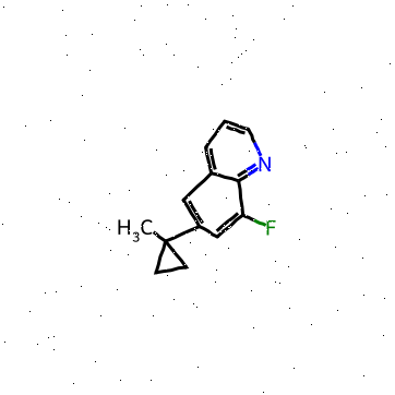 CC1(c2cc(F)c3ncccc3c2)CC1